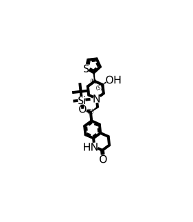 CC(C)(C)[Si](C)(C)O[C@@H](CN1CC[C@@H](c2cccs2)[C@H](O)C1)c1ccc2c(c1)CCC(=O)N2